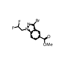 COC(=O)c1ccc2c(c1)c(Br)nn2CC(F)F